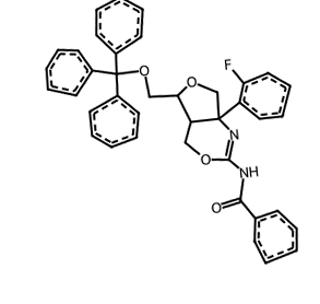 O=C(NC1=NC2(c3ccccc3F)COC(COC(c3ccccc3)(c3ccccc3)c3ccccc3)C2CO1)c1ccccc1